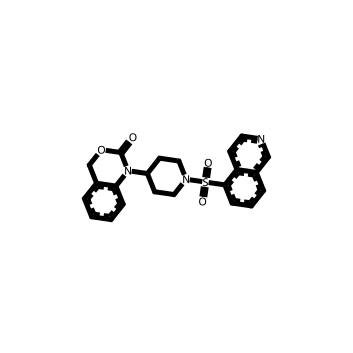 O=C1OCc2ccccc2N1C1CCN(S(=O)(=O)c2cccc3cnccc23)CC1